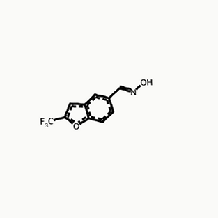 ON=Cc1ccc2oc(C(F)(F)F)cc2c1